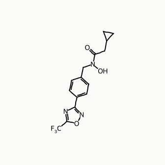 O=C(CC1CC1)N(O)Cc1ccc(-c2noc(C(F)(F)F)n2)cc1